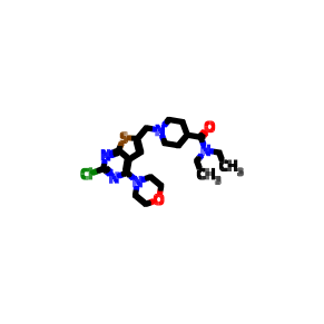 CCN(CC)C(=O)C1CCN(Cc2cc3c(N4CCOCC4)nc(Cl)nc3s2)CC1